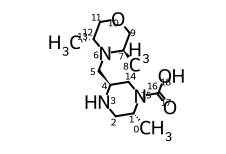 C[C@@H]1CN[C@@H](CN2[C@H](C)COC[C@H]2C)CN1C(=O)O